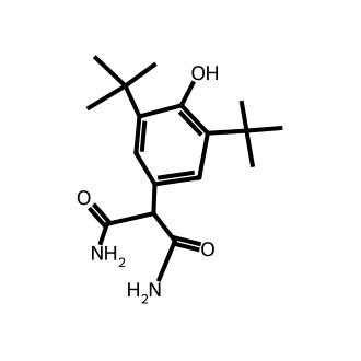 CC(C)(C)c1cc(C(C(N)=O)C(N)=O)cc(C(C)(C)C)c1O